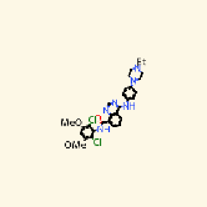 CCN1CCN(c2ccc(Nc3ncnc4c(C(=O)Nc5c(Cl)c(OC)cc(OC)c5Cl)cccc34)cc2)CC1